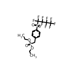 CCOP(=O)(Cc1ccc(S(=O)(=O)C(F)(F)C(F)(F)C(F)(F)C(F)(F)F)cc1)OCC